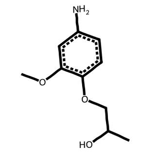 COc1cc(N)ccc1OCC(C)O